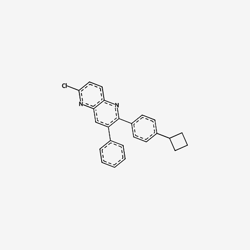 Clc1ccc2nc(-c3ccc(C4CCC4)cc3)c(-c3ccccc3)cc2n1